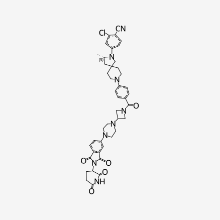 C[C@H]1CC2(CCN(c3ccc(C(=O)N4CC(N5CCN(c6ccc7c(c6)C(=O)N(C6CCC(=O)NC6=O)C7=O)CC5)C4)cc3)CC2)CN1c1ccc(C#N)c(Cl)c1